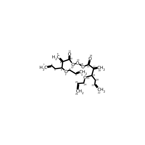 C=CCOC(CC=C)C(=C)C(=O)OOOC(=O)C(=C)C(CC=C)OCC=C